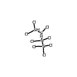 Cl[SiH](Cl)[SiH](Cl)[Si](Cl)(Cl)[Si](Cl)(Cl)Cl